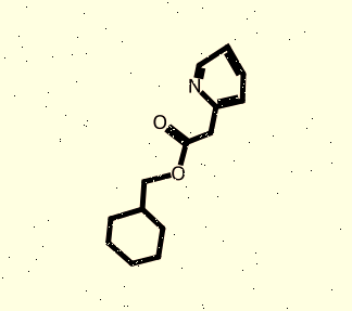 O=C(Cc1ccccn1)OCC1CCCCC1